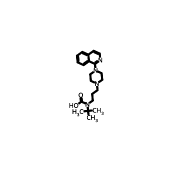 CC(C)(C)N(CCCN1CCN(c2nccc3ccccc23)CC1)C(=O)O